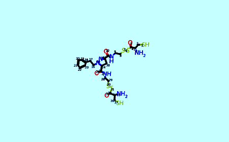 N[C@@H](CS)C(=O)SSCCNC(=O)C1=NN(CCc2ccccc2)C(C(=O)NCCSSC(=O)[C@@H](N)CS)C1